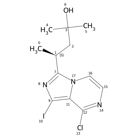 C[C@@H](CC(C)(C)O)c1nc(I)c2c(Cl)nccn12